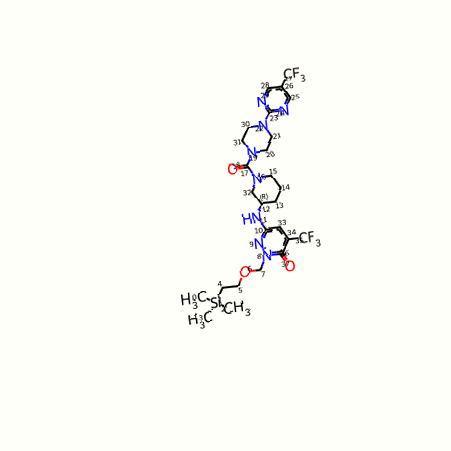 C[Si](C)(C)CCOCn1nc(N[C@@H]2CCCN(C(=O)N3CCN(c4ncc(C(F)(F)F)cn4)CC3)C2)cc(C(F)(F)F)c1=O